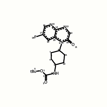 CC(C)(C)OC(=O)NC1CCC(n2c(=O)cnc3ncc(F)cc32)CC1